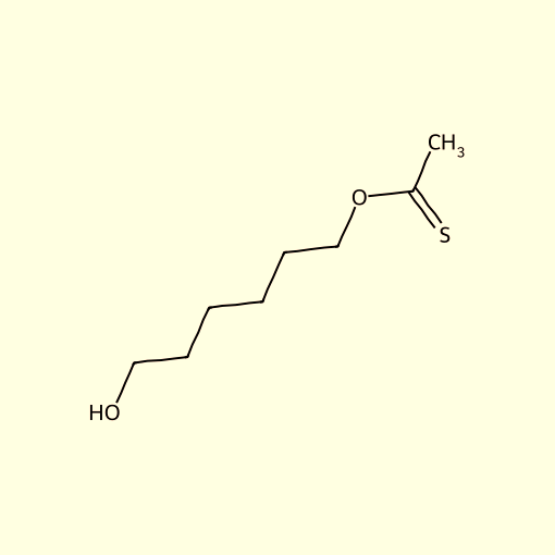 CC(=S)OCCCCCCO